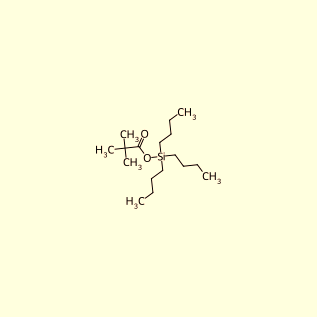 CCCC[Si](CCCC)(CCCC)OC(=O)C(C)(C)C